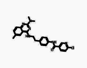 Cc1ccc2nc(N(C)C)nc(NCCc3ccc(NC(=O)c4ccc(Cl)nc4)cc3)c2c1